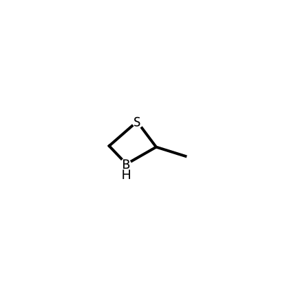 CC1BCS1